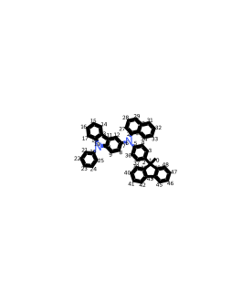 CC1(c2ccc(N(c3ccc4c(c3)c3ccccc3n4-c3ccccc3)c3cccc4ccccc34)cc2)c2ccccc2-c2ccccc21